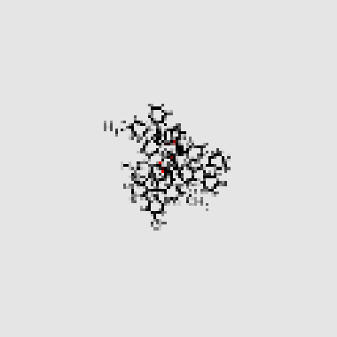 C=Cc1ccc(C2(c3ccc(C)cc3)c3ccccc3-c3ccc(N(c4ccc(C)c(F)c4)c4ccc5c(c4)C4(c6ccccc6-5)c5ccccc5-c5ccc(N(c6ccc(C)c(F)c6)c6ccc7c(c6)C(c6ccc(C)cc6)(c6ccc(C=C)cc6)c6ccccc6-7)cc54)cc32)cc1